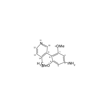 COc1cc(N)cc(OC)c1-c1cnccc1C